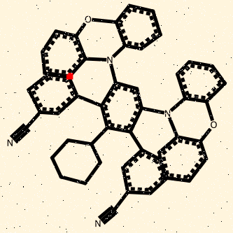 N#Cc1cccc(-c2c(N3c4ccccc4Oc4ccccc43)cc(N3c4ccccc4Oc4ccccc43)c(-c3cccc(C#N)c3)c2C2CCCCC2)c1